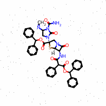 C=NC1CN([C@]2(C(=O)OC(c3ccccc3)c3ccccc3)CN3C(=O)[C@@H](NC(=O)C(C(=O)OC(c4ccccc4)c4ccccc4)c4ccccc4)[C@H]3S2)C(=O)N1C(N)=O